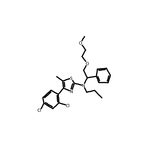 CCCN(c1nc(-c2ccc(Cl)cc2Cl)c(C)s1)C(COCCOC)c1ccccc1